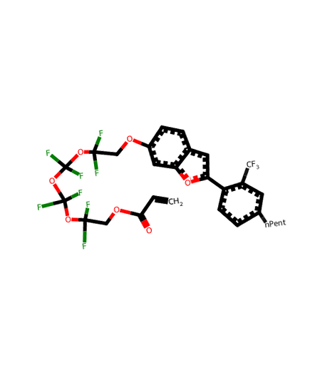 C=CC(=O)OCC(F)(F)OC(F)(F)OC(F)(F)OC(F)(F)COc1ccc2cc(-c3ccc(CCCCC)cc3C(F)(F)F)oc2c1